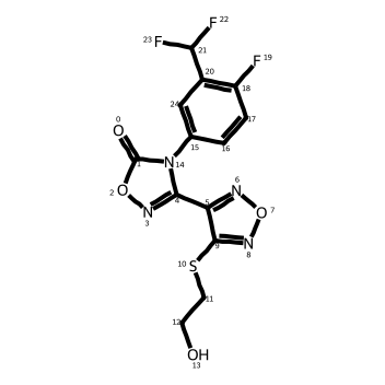 O=c1onc(-c2nonc2SCCO)n1-c1ccc(F)c(C(F)F)c1